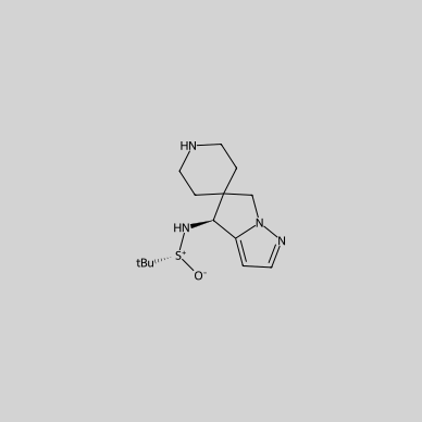 CC(C)(C)[S@@+]([O-])N[C@@H]1c2ccnn2CC12CCNCC2